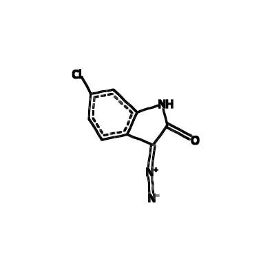 [N-]=[N+]=C1C(=O)Nc2cc(Cl)ccc21